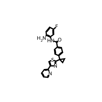 Nc1ccc(F)cc1NC(=O)c1ccc(C2(c3nc(-c4ccccn4)cs3)CC2)cc1